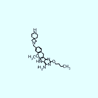 CCCCOc1nc(N)c2[nH]nc(Cc3ccc(CN4CC5(CCNCC5)C4)cc3OC)c2n1